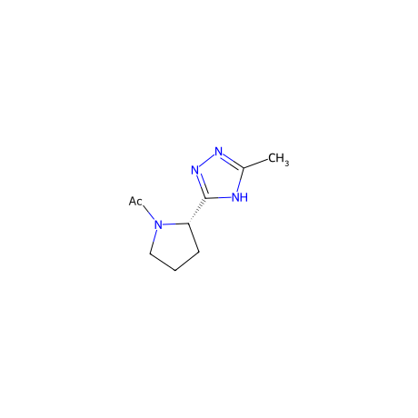 CC(=O)N1CCC[C@H]1c1nnc(C)[nH]1